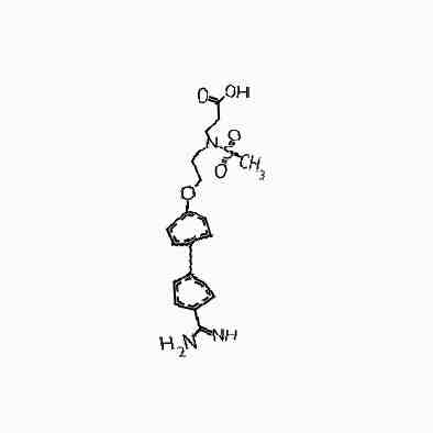 CS(=O)(=O)N(CCOc1ccc(-c2ccc(C(=N)N)cc2)cc1)CCC(=O)O